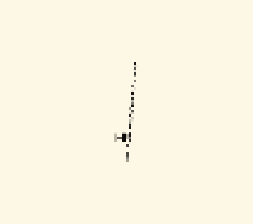 CCCCCCCCCCCCCCCCCCCCNCCCCCC